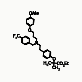 CCOC(=O)C(C)(C)Oc1ccc(CCN(CCCOc2ccc(OC)cc2)Cc2ccc(C(F)(F)F)cc2)cc1